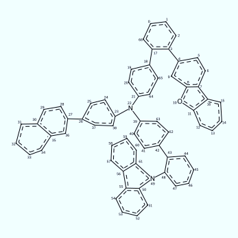 c1ccc(-c2ccc3c(c2)oc2ccccc23)c(-c2ccc(N(c3ccc(-c4ccc5ccccc5c4)cc3)c3ccc(-c4ccccc4-n4c5ccccc5c5ccccc54)cc3)cc2)c1